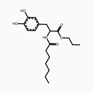 CCCCCCC(=O)NC(Cc1ccc(O)c(O)c1)C(=O)OCCC